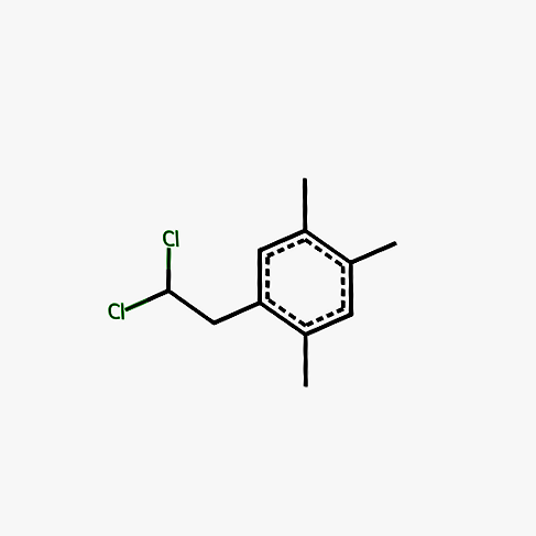 Cc1cc(C)c(CC(Cl)Cl)cc1C